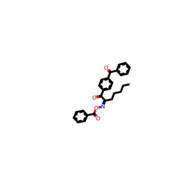 CCCCCC(=NOC(=O)c1ccccc1)C(=O)c1ccc(C(=O)c2ccccc2)cc1